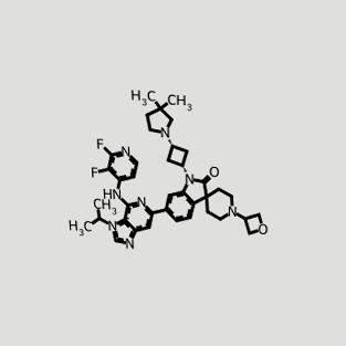 CC(C)n1cnc2cc(-c3ccc4c(c3)N([C@H]3C[C@@H](N5CCC(C)(C)C5)C3)C(=O)C43CCN(C4COC4)CC3)nc(Nc3ccnc(F)c3F)c21